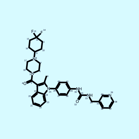 Cc1c(C(=O)N2CCN(C3CCC(F)(F)CC3)CC2)c2ccccc2n1-c1ccc(NC(=O)NCc2cccnc2)cc1